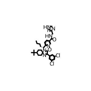 CCCC[C@H](c1ccc(C(=O)NCc2nc[nH]n2)cn1)N1C(=O)C(c2cc(Cl)cc(Cl)c2)=NC12CCC(C(C)(C)C)CC2